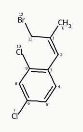 C/C(=C/c1ccc(Cl)cc1Cl)CBr